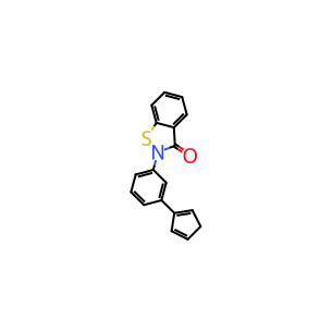 O=c1c2ccccc2sn1-c1cccc(C2=CCC=C2)c1